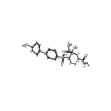 Cc1ccc(-c2ccc(S(=O)(=O)C3CCN(C(N)=O)CC3(O)C(=O)O)cc2)cc1